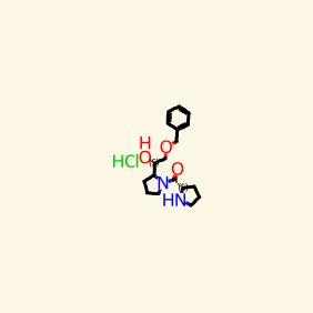 Cl.O=C([C@@H]1CCCN1)N1CCCC1[C@H](O)COCc1ccccc1